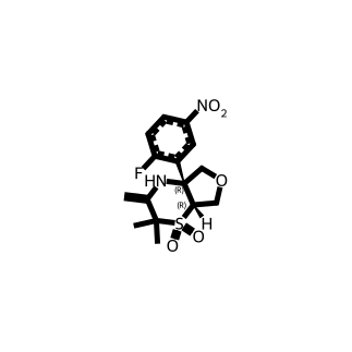 C=C1N[C@]2(c3cc([N+](=O)[O-])ccc3F)COC[C@@H]2S(=O)(=O)C1(C)C